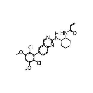 C=CC(=O)N[C@@H]1CCCC[C@H]1Nc1ncc2cc(-c3c(Cl)c(OC)cc(OC)c3Cl)ccc2n1